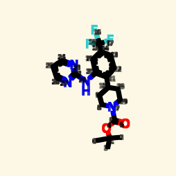 CC(C)(C)OC(=O)N1CCC(c2ccc(C(F)(F)F)cc2Nc2ncccn2)CC1